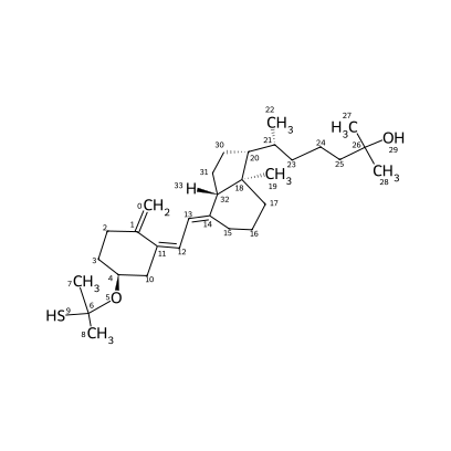 C=C1CC[C@H](OC(C)(C)S)C/C1=C/C=C1\CCC[C@]2(C)[C@@H]([C@H](C)CCCC(C)(C)O)CC[C@@H]12